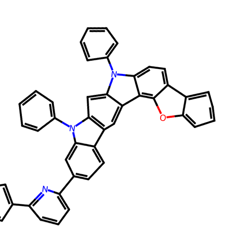 c1ccc(-c2cccc(-c3ccc4c5cc6c7c8oc9ccccc9c8ccc7n(-c7ccccc7)c6cc5n(-c5ccccc5)c4c3)n2)cc1